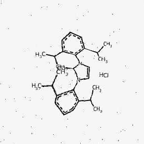 CC(C)c1cccc(C(C)C)c1N1C=CN(c2c(C(C)C)cccc2C(C)C)[CH]1[Cu].Cl